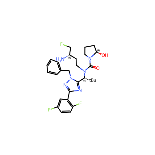 CC(C)(C)[C@H](c1nc(-c2cc(F)ccc2F)nn1Cc1ccccc1)N(CC[C@H](N)CF)C(=O)N1CCC[C@H]1O